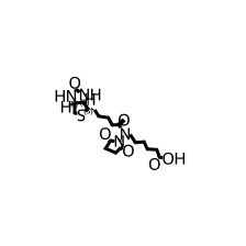 O=C(O)CCCCCN(C(=O)CCCC[C@@H]1SC[C@@H]2NC(=O)N[C@@H]21)N1C(=O)CCC1=O